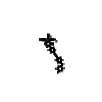 C[C@@H](N)[C@H](NC(=O)c1ccc(C#Cc2ccc(CN3CCC(F)CC3)cc2)cc1)C(=O)NO